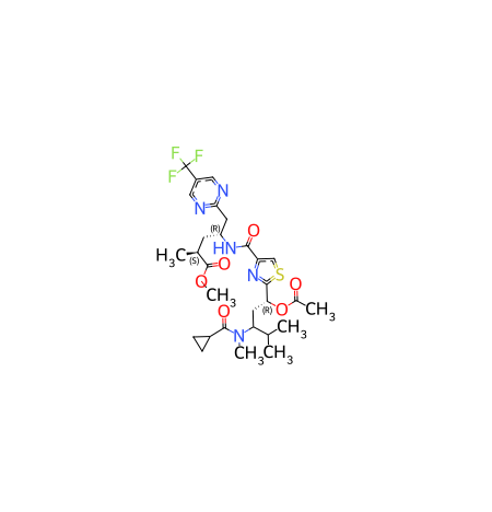 COC(=O)[C@@H](C)C[C@H](Cc1ncc(C(F)(F)F)cn1)NC(=O)c1csc([C@@H](CC(C(C)C)N(C)C(=O)C2CC2)OC(C)=O)n1